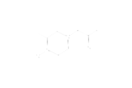 CCC(N)CN1CCN(N)C(CC)C1